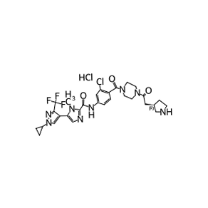 Cl.Cn1c(-c2cn(C3CC3)nc2C(F)(F)F)cnc1C(=O)Nc1ccc(C(=O)N2CCN(C(=O)C[C@H]3CCNC3)CC2)c(Cl)c1